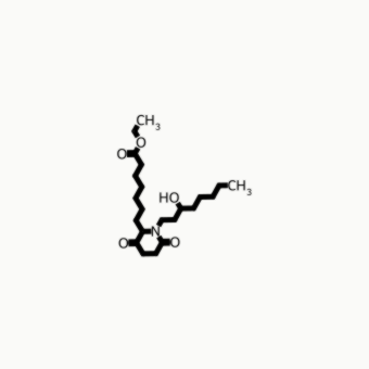 CCCCCC(O)CCN1C(=O)CCC(=O)C1CCCCCCC(=O)OCC